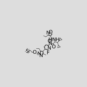 CCc1nocc1C(=O)NC(C(=O)Nc1ccc(-c2c(C)nn(COCC[Si](C)(C)C)c2CC)c(F)n1)C(C1CC1)C1CC1